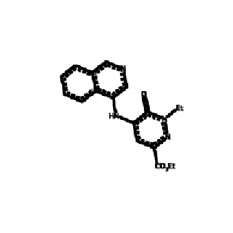 CCOC(=O)c1cc(Nc2cncc3ccccc23)c(=O)n(CC)n1